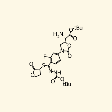 CC(C)(C)OC(=O)N/N=C(/SC1CCOC1=O)c1ccc(N2CC([C@H](N)C(=O)OC(C)(C)C)OC2=O)cc1F